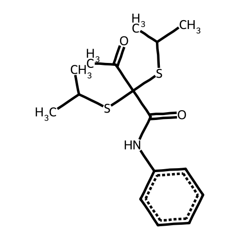 CC(=O)C(SC(C)C)(SC(C)C)C(=O)Nc1ccccc1